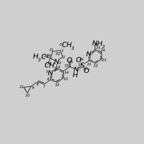 C[C@@H]1CN(c2nc(C=CC3CC3)ccc2C(=O)NS(=O)(=O)c2cccc(N)n2)C(C)(C)C1